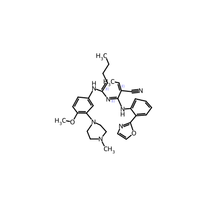 C\C=C(C#N)/C(=N\C(=C\CCC)Nc1ccc(OC)c(N2CCN(C)CC2)c1)Nc1ccccc1-c1ncco1